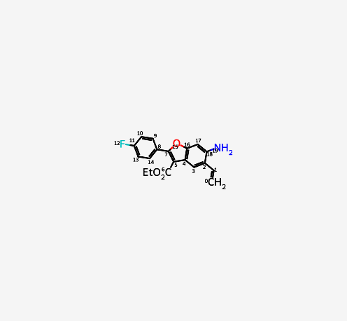 C=Cc1cc2c(C(=O)OCC)c(-c3ccc(F)cc3)oc2cc1N